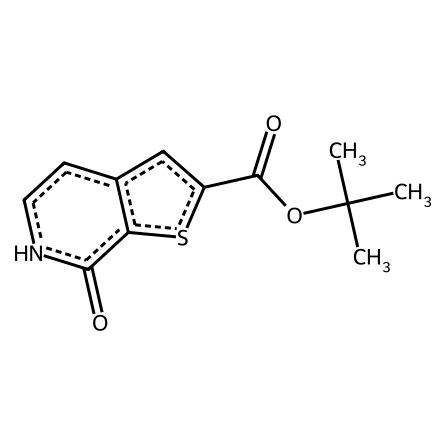 CC(C)(C)OC(=O)c1cc2cc[nH]c(=O)c2s1